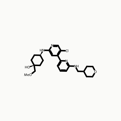 COC[C@]1(O)CC[C@@H](Nc2cc(-c3cccc(NCC4CCOCC4)n3)c(Cl)cn2)CC1